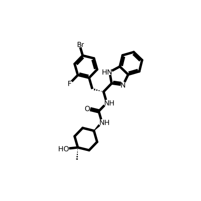 C[C@]1(O)CC[C@@H](NC(=O)N[C@H](Cc2ccc(Br)cc2F)c2nc3ccccc3[nH]2)CC1